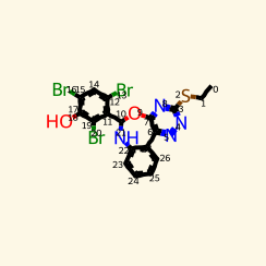 CCSc1nnc2c(n1)OC(c1c(Br)cc(Br)c(O)c1Br)Nc1ccccc1-2